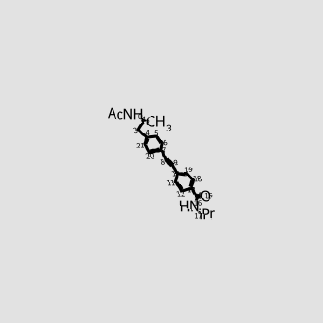 CC(=O)NC(C)Cc1ccc(C#Cc2ccc(C(=O)NC(C)C)cc2)cc1